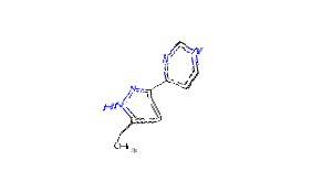 Cc1cc(-c2ccncn2)n[nH]1